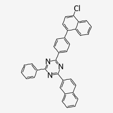 Clc1ccc(-c2ccc(-c3nc(-c4ccccc4)nc(-c4ccc5ccccc5c4)n3)cc2)c2ccccc12